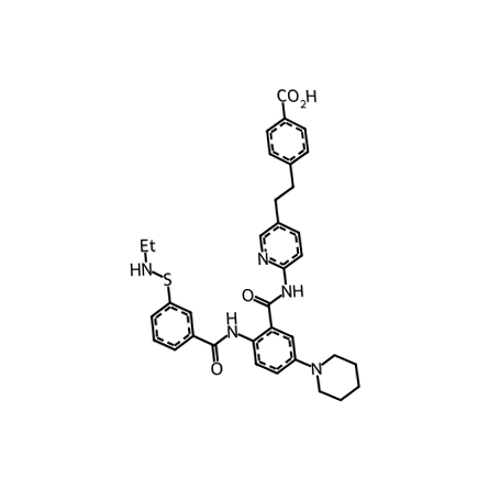 CCNSc1cccc(C(=O)Nc2ccc(N3CCCCC3)cc2C(=O)Nc2ccc(CCc3ccc(C(=O)O)cc3)cn2)c1